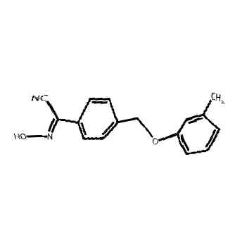 Cc1cccc(OCc2ccc(C(C#N)=NO)cc2)c1